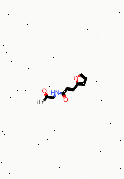 CC(C)C(=O)CNC(=O)/C=C/c1ccco1